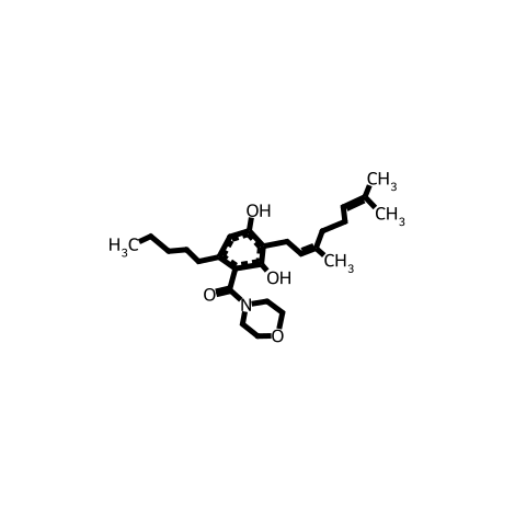 CCCCCc1cc(O)c(CC=C(C)CCC=C(C)C)c(O)c1C(=O)N1CCOCC1